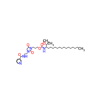 CCCCCCCCCCCCCCCC(NC(=O)OCCCN1C(=O)CN(CCNC(=O)c2cccnc2)C1=O)C(C)OC